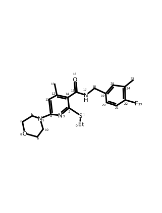 CCSc1nc(N2CCOCC2)cc(C)c1C(=O)NCc1ccc(F)c(C)c1